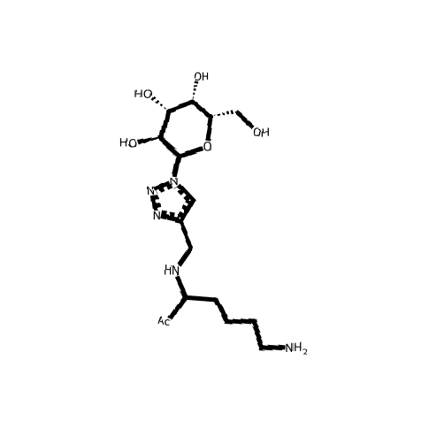 CC(=O)C(CCCCN)NCc1cn(C2O[C@@H](CO)[C@@H](O)[C@@H](O)[C@@H]2O)nn1